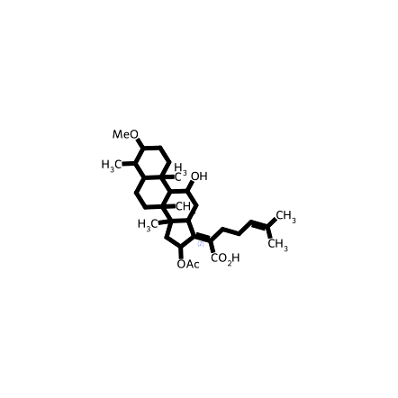 COC1CCC2(C)C(CCC3(C)C2C(O)CC2/C(=C(\CCC=C(C)C)C(=O)O)C(OC(C)=O)CC23C)C1C